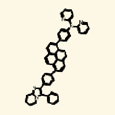 c1ccc(-c2c(-c3ccc(-c4ccc5ccc6c(-c7ccc(N(c8ccccn8)c8ccccn8)cc7)ccc7ccc4c5c76)cc3)nc3ccccn23)cc1